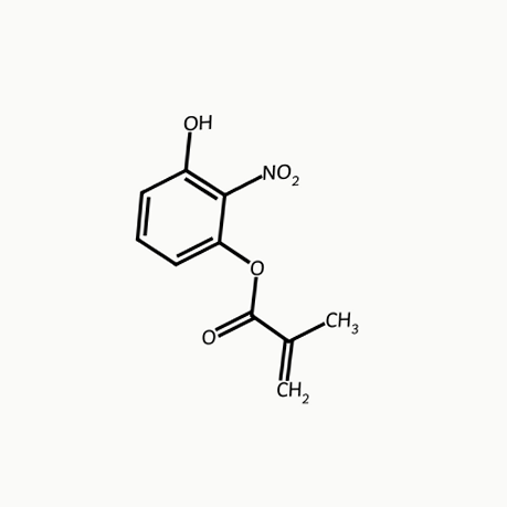 C=C(C)C(=O)Oc1cccc(O)c1[N+](=O)[O-]